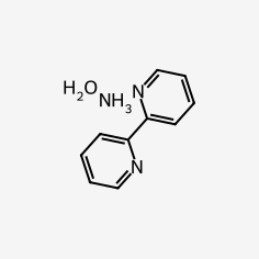 N.O.c1ccc(-c2ccccn2)nc1